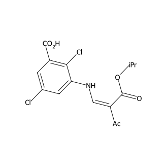 CC(=O)C(=CNc1cc(Cl)cc(C(=O)O)c1Cl)C(=O)OC(C)C